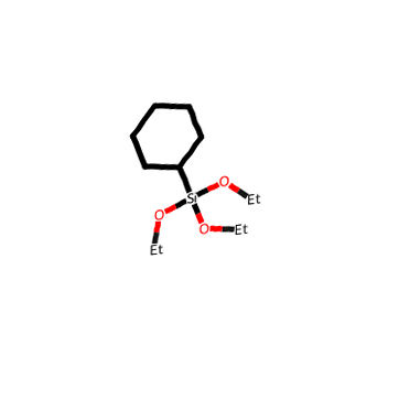 CCO[Si](OCC)(OCC)C1CCCCC1